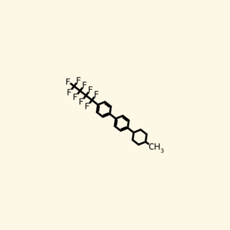 CC1CCC(c2ccc(-c3ccc(C(F)(F)C(F)(F)C(F)(F)C(F)(F)F)cc3)cc2)CC1